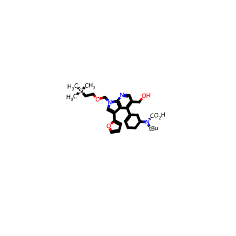 CC(C)(C)N(C(=O)O)C1CCC=C(c2c(CO)cnc3c2c(-c2ccco2)cn3COCC[Si](C)(C)C)C1